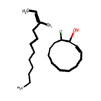 CC=C(C)CCCCCCCCC.OC1C=CCCCCCCCCC1Cl